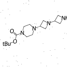 CC(C)(C)OC(=O)N1CCN(C2CN(C3CNC3)C2)CC1